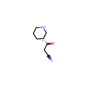 N#CCC(=O)[C@@H]1CCCNC1